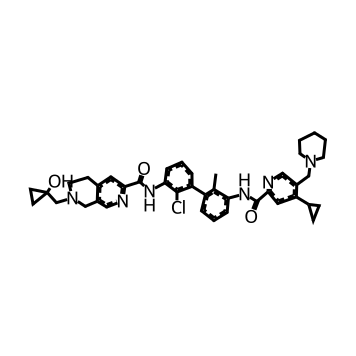 Cc1c(NC(=O)c2cc(C3CC3)c(CN3CCCCC3)cn2)cccc1-c1cccc(NC(=O)c2cc3c(cn2)CN(CC2(O)CC2)CC3)c1Cl